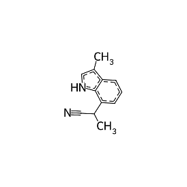 Cc1c[nH]c2c(C(C)C#N)cccc12